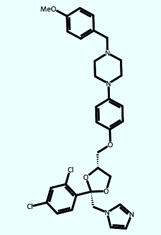 COc1ccc(CN2CCN(c3ccc(OC[C@@H]4CO[C@@](Cn5ccnc5)(c5ccc(Cl)cc5Cl)O4)cc3)CC2)cc1